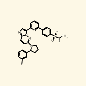 CNS(=O)(=O)c1ccc(-c2cccc(-c3cnc4ccc(N5CCCC5c5cccc(F)c5)nn34)n2)cc1